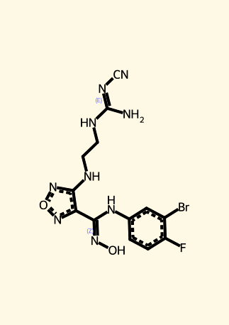 N#C/N=C(\N)NCCNc1nonc1/C(=N/O)Nc1ccc(F)c(Br)c1